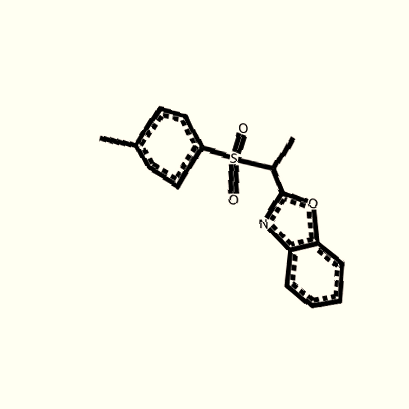 Cc1ccc(S(=O)(=O)C(C)c2nc3ccccc3o2)cc1